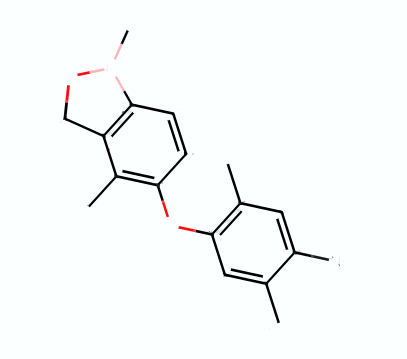 [C-]#[N+]c1cc(C)c(Oc2ccc3c(c2C)COB3C)cc1C